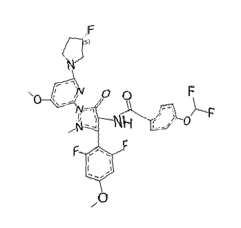 COc1cc(N2CC[C@H](F)C2)nc(-n2c(=O)c(NC(=O)c3ccc(OC(F)F)cc3)c(-c3c(F)cc(OC)cc3F)n2C)c1